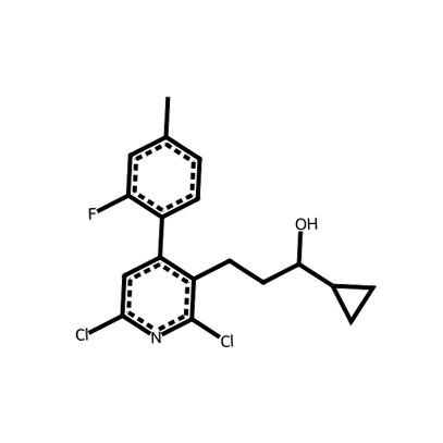 Cc1ccc(-c2cc(Cl)nc(Cl)c2CCC(O)C2CC2)c(F)c1